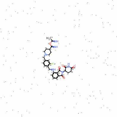 CC(=N)OC(=N)C1CCN(Cc2ccc(CNc3cccc4c3C(=O)N(C3CCC(=O)NC3=O)C4=O)c(F)c2)CC1